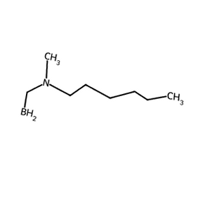 BCN(C)CCCCCC